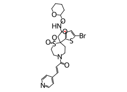 O=C(CC1(c2ccc(Br)s2)CCN(C(=O)C=Cc2ccncc2)CCS1(=O)=O)NOC1CCCCO1